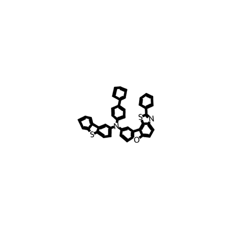 c1ccc(-c2ccc(N(c3ccc4sc5ccccc5c4c3)c3ccc4oc5ccc6nc(-c7ccccc7)sc6c5c4c3)cc2)cc1